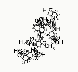 COc1cc(N=Nc2cc3c(S(=O)(=O)O)cccc3cc2S(=O)(=O)O)c(NC(C)=O)cc1N=Nc1ccc(Nc2nc(Nc3cccc(S(=O)(=O)O)c3)nc(-[n+]3cccc(C)c3)n2)c2c(S(=O)(=O)O)cccc12